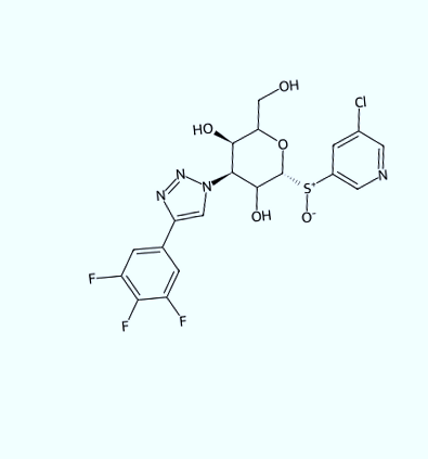 [O-][S+](c1cncc(Cl)c1)[C@H]1OC(CO)[C@H](O)[C@H](n2cc(-c3cc(F)c(F)c(F)c3)nn2)C1O